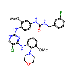 COc1cc(NC(=O)NCc2cccc(F)c2)ccc1Nc1ncc(Cl)c(Nc2cccc(OC)c2N2CCOCC2)n1